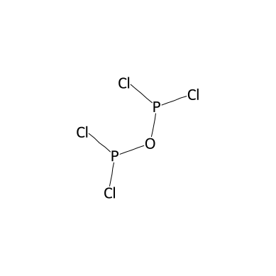 ClP(Cl)OP(Cl)Cl